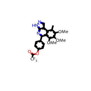 COc1c(OC)c(C)c2c(c(-c3ccc(OC(=O)C(F)(F)F)cc3)nc3[nH]ncc32)c1OC